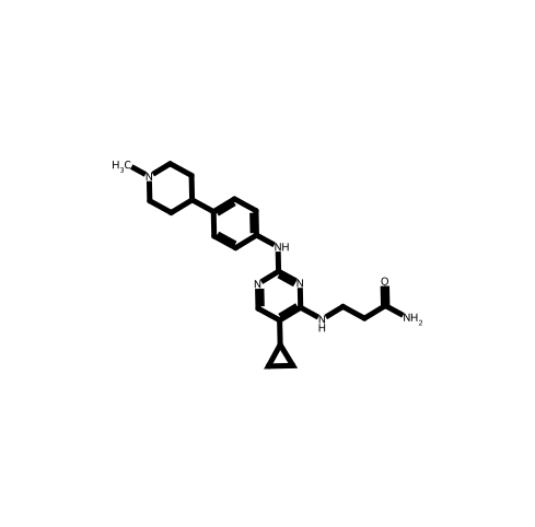 CN1CCC(c2ccc(Nc3ncc(C4CC4)c(NCCC(N)=O)n3)cc2)CC1